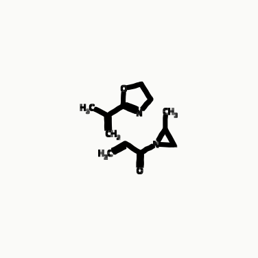 C=C(C)C1=NCCO1.C=CC(=O)N1CC1C